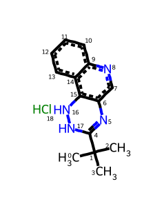 CC(C)(C)C1=Nc2cnc3ccccc3c2NN1.Cl